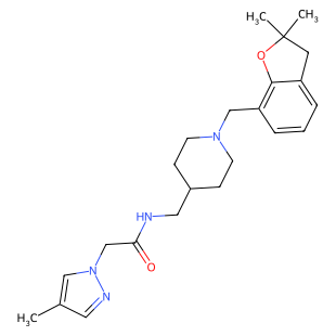 Cc1cnn(CC(=O)NCC2CCN(Cc3cccc4c3OC(C)(C)C4)CC2)c1